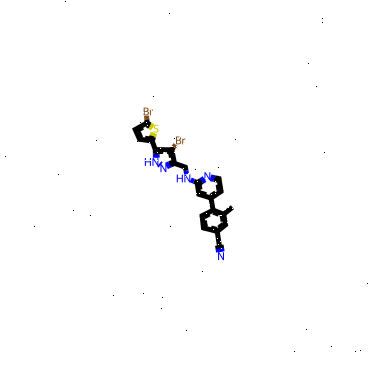 Cc1cc(C#N)ccc1-c1ccnc(NCc2n[nH]c(-c3ccc(Br)s3)c2Br)c1